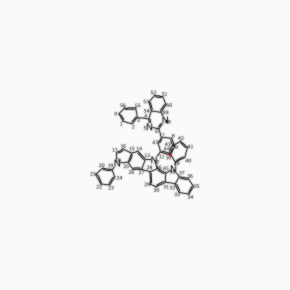 c1ccc(-c2nc(-c3cccc(-n4c5cc6ccn(-c7ccccc7)c6cc5c5ccc6c7ccccc7n(-c7ccccc7)c6c54)c3)nc3ccccc23)cc1